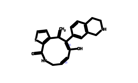 C=C1/C(c2ccc3c(c2)CNCC3)=C(O)\C=C/CNC(=O)c2sccc21